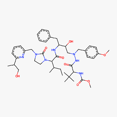 CCC(C)C(C(=O)NC(Cc1ccccc1)C(O)CN(Cc1ccc(OC)cc1)NC(=O)C(NC(=O)OC)C(C)(C)C)N1CCN(Cc2cccc(C(C)CO)n2)C1=O